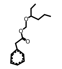 CCCC(CC)OCOC(=O)Cc1ccccc1